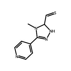 CN1C(c2ccncc2)=NNC1C=S